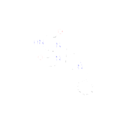 CCN1C2(CCN(Cc3ccccc3)CC2)CN2C(=O)CNCC21COC